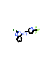 FC(F)(F)c1ccc(CNc2nc(Cl)nc3ccccc23)cn1